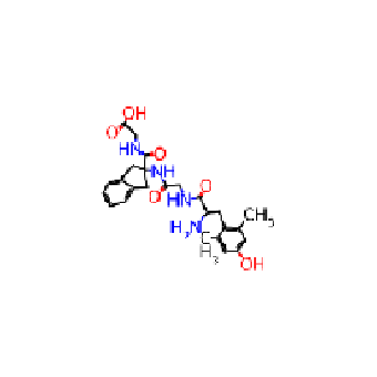 Cc1cc(O)cc(C)c1CC(N)C(=O)NCC(=O)NC1(C(=O)NCC(=O)O)Cc2ccccc2C1